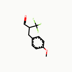 COc1ccc(CC(C=O)C(F)(F)F)cc1